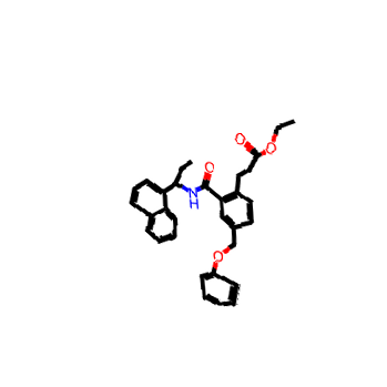 CCOC(=O)CCc1ccc(COc2ccccc2)cc1C(=O)NC(CC)c1cccc2ccccc12